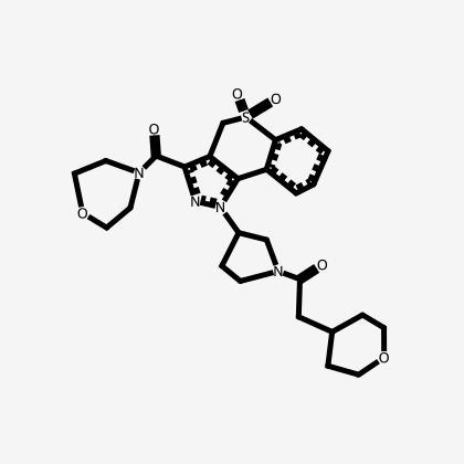 O=C(CC1CCOCC1)N1CCC(n2nc(C(=O)N3CCOCC3)c3c2-c2ccccc2S(=O)(=O)C3)C1